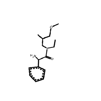 CCN(CC(C)COC)C(=O)C(N)c1ccccc1